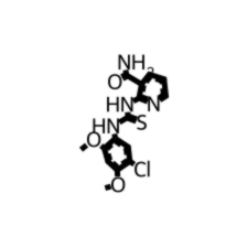 COc1cc(OC)c(NC(=S)Nc2ncccc2C(N)=O)cc1Cl